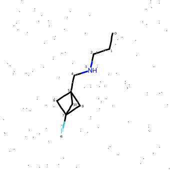 CCCNCC12CC(F)(C1)C2